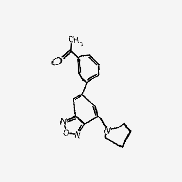 CC(=O)c1cccc(-c2cc(N3CCCC3)c3nonc3c2)c1